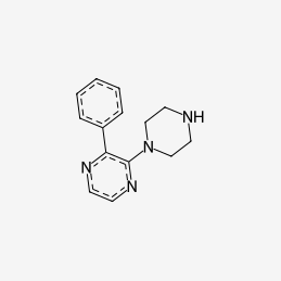 c1ccc(-c2nccnc2N2CCNCC2)cc1